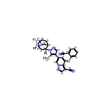 Cc1c(-c2cc(Sc3ccccc3C#N)c3c(C#N)cnn3c2)cnn1[C@H]1C[C@H]2CCCC1CN2C